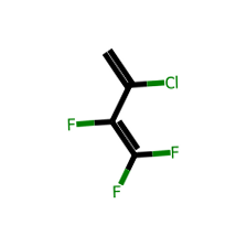 C=C(Cl)C(F)=C(F)F